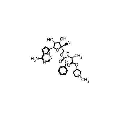 C[C@H](NP(=O)(OC[C@@]1(C#N)O[C@@H](c2ccc3c(N)ncnn23)[C@H](O)[C@@H]1O)Oc1ccccc1)C(=O)O[C@@H]1CCN(C)C1